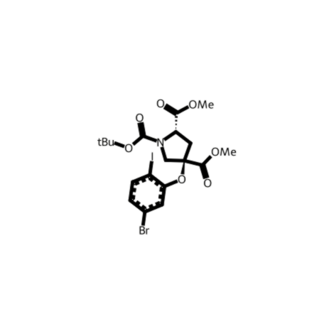 COC(=O)[C@@H]1C[C@](Oc2cc(Br)ccc2I)(C(=O)OC)CN1C(=O)OC(C)(C)C